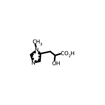 Cn1cncc1CC(O)C(=O)O